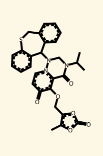 Cc1oc(=O)oc1COc1c2n(ccc1=O)N(C1c3ccccc3CSc3ccccc31)CN(C(C)C)C2=O